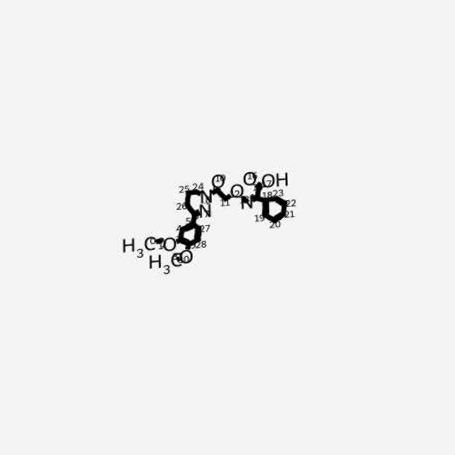 CCOc1cc(C2=NN(C(=O)CO/N=C(\C(=O)O)c3ccccc3)CCC2)ccc1OC